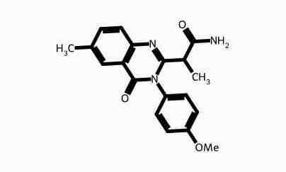 COc1ccc(-n2c(C(C)C(N)=O)nc3ccc(C)cc3c2=O)cc1